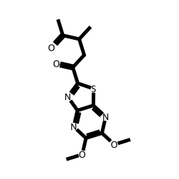 COc1nc2nc(C(=O)CC(C)C(C)=O)sc2nc1OC